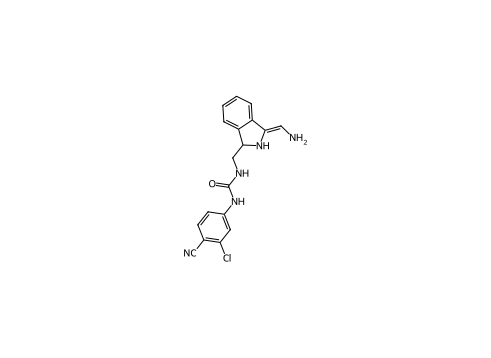 N#Cc1ccc(NC(=O)NCC2N/C(=C\N)c3ccccc32)cc1Cl